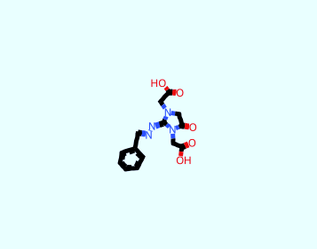 O=C(O)CN1CC(=O)N(CC(=O)O)/C1=N\N=C\c1ccccc1